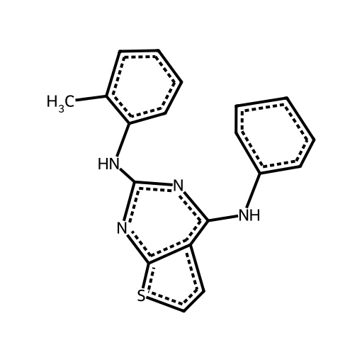 Cc1ccccc1Nc1nc(Nc2ccccc2)c2ccsc2n1